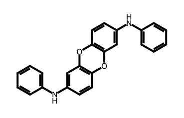 c1ccc(Nc2ccc3c(c2)Oc2ccc(Nc4ccccc4)cc2O3)cc1